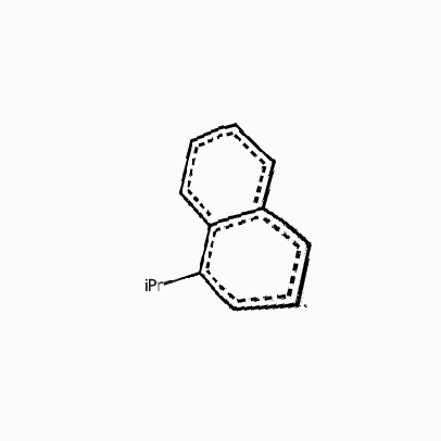 CC(C)c1c[c]cc2ccccc12